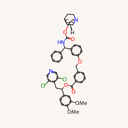 COc1ccc(C(Cc2c(Cl)cncc2Cl)OC(=O)c2cccc(COc3cccc(C(NC(=O)O[C@@H]4CC5CCN(CC5)C4)c4ccccc4)c3)c2)cc1OC